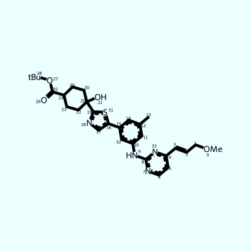 COC/C=C/c1ccnc(Nc2cc(C)cc(-c3cnc(C4(O)CCC(C(=O)OC(C)(C)C)CC4)s3)c2)n1